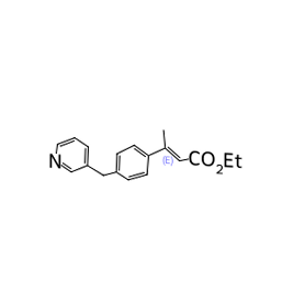 CCOC(=O)/C=C(\C)c1ccc(Cc2cccnc2)cc1